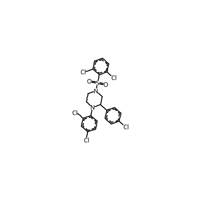 O=S(=O)(c1c(Cl)cccc1Cl)N1CCN(c2ccc(Cl)cc2Cl)C(c2ccc(Cl)cc2)C1